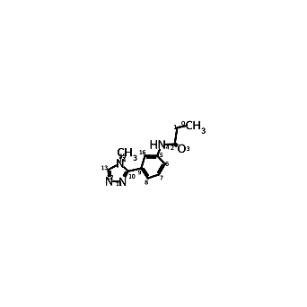 CCC(=O)Nc1cccc(-c2nncn2C)c1